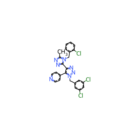 Cc1nnc(-c2nnn(Cc3cc(Cl)cc(Cl)c3)c2-c2ccncc2)n1Cc1ccccc1Cl